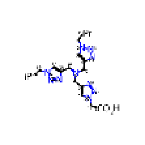 CC(C)Cn1cc(CN(Cc2cn(CC(=O)O)nn2)Cc2cn(CC(C)C)nn2)nn1